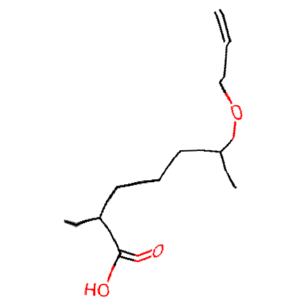 C=CCOC(C)CCCC(C)C(=O)O